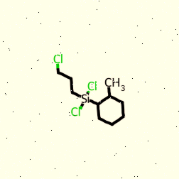 CC1CCCCC1[Si](Cl)(Cl)CCCCl